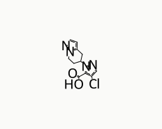 O=C(O)c1c(Cl)cnn1C1CCn2nccc2C1